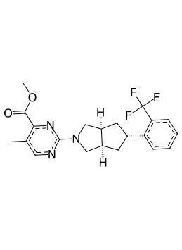 COC(=O)c1nc(N2C[C@H]3C[C@H](c4ccccc4C(F)(F)F)C[C@H]3C2)ncc1C